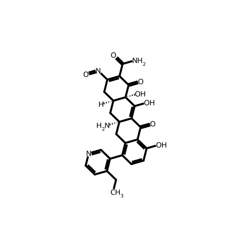 CCc1ccncc1-c1ccc(O)c2c1C[C@@]1(N)C[C@H]3CC(N=O)=C(C(N)=O)C(=O)[C@@]3(O)C(O)=C1C2=O